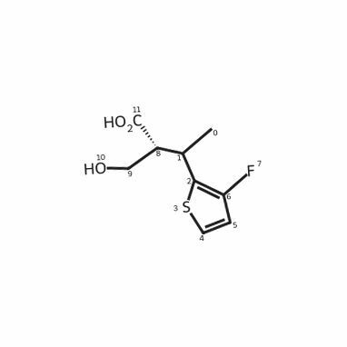 CC(c1sccc1F)[C@H](CO)C(=O)O